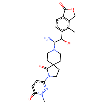 Cc1c([C@@H](O)[C@H](N)N2CCC3(CCN(c4ccc(=O)n(C)n4)C3=O)CC2)ccc2c1COC2=O